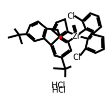 Cl.Cl.[CH2]=[Zr]([C]1=CC=CC1)([c]1ccccc1Cl)([c]1ccccc1Cl)[c]1cc(C(C)(C)C)cc2c1Cc1ccc(C(C)(C)C)cc1-2